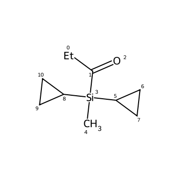 CCC(=O)[Si](C)(C1CC1)C1CC1